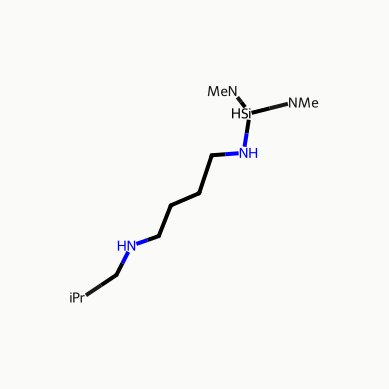 CN[SiH](NC)NCCCCNCC(C)C